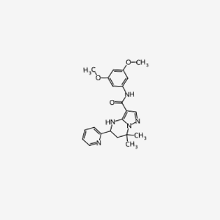 COc1cc(NC(=O)c2cnn3c2NC(c2ccccn2)CC3(C)C)cc(OC)c1